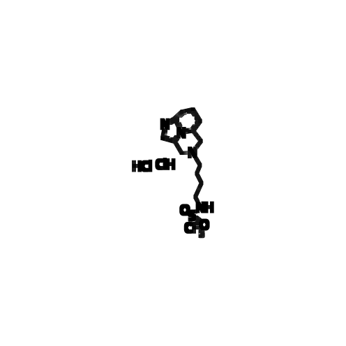 Cl.Cl.O=S(=O)(NCCCCN1Cc2cccc3ncc(n23)C1)C(F)(F)F